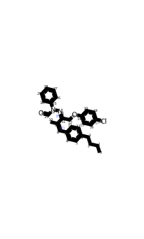 CCCCc1ccc(/C=C(C)\C(COc2ccc(Cl)cc2)=N/N(C=O)c2ccccc2)cc1